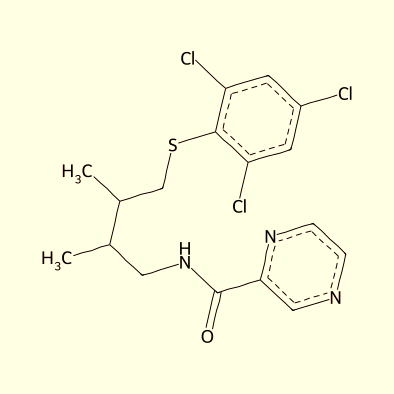 CC(CNC(=O)c1cnccn1)C(C)CSc1c(Cl)cc(Cl)cc1Cl